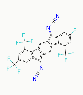 N#C/N=c1/c2cc3c(cc2c2c(C(F)(F)F)cc(F)cc12)/c(=N/C#N)c1cc(C(F)(F)F)cc(C(F)(F)F)c13